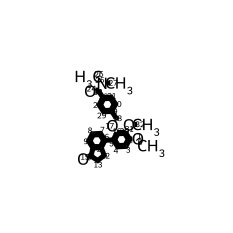 COc1ccc(-c2cccc3c2CCC3=O)c(OCc2ccc(C(=O)N(C)C)cc2)c1OC